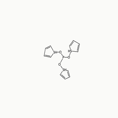 C1=C[SH](OP(O[SH]2C=CC=C2)O[SH]2C=CC=C2)C=C1